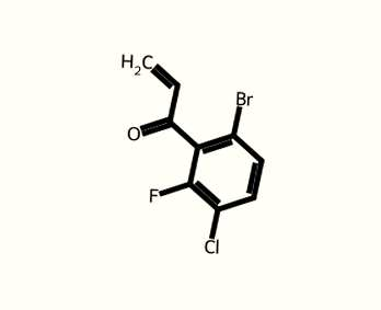 C=CC(=O)c1c(Br)ccc(Cl)c1F